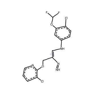 N=N/C(=C\Nc1ccc(Cl)c(OC(F)F)c1)COc1ncccc1Cl